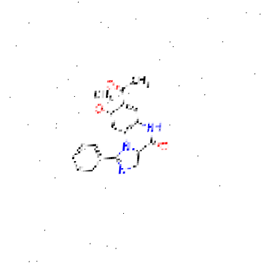 COc1cc2c(cc1C(C)=O)[nH]c(=O)c1cnc(-c3ccccc3)n12